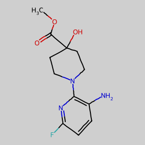 COC(=O)C1(O)CCN(c2nc(F)ccc2N)CC1